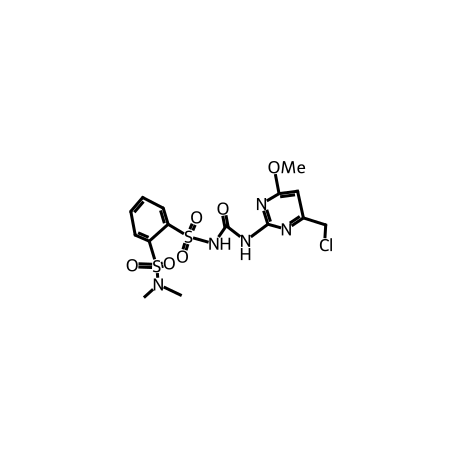 COc1cc(CCl)nc(NC(=O)NS(=O)(=O)c2ccccc2S(=O)(=O)N(C)C)n1